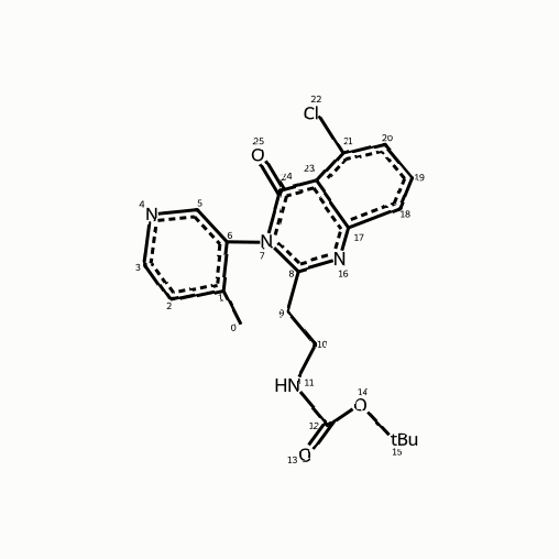 Cc1ccncc1-n1c(CCNC(=O)OC(C)(C)C)nc2cccc(Cl)c2c1=O